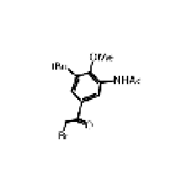 COc1c(NC(C)=O)cc(C(=O)CBr)cc1C(C)(C)C